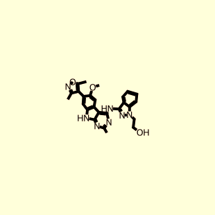 COc1cc2c(cc1-c1c(C)noc1C)[nH]c1nc(C)nc(Nc3nn(CCO)c4ccccc34)c12